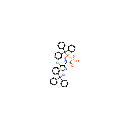 O=C(/C(=N\OC(c1ccccc1)(c1ccccc1)c1ccccc1)c1nc(NC(c2ccccc2)(c2ccccc2)c2ccccc2)sc1Cl)P(=O)(O)S